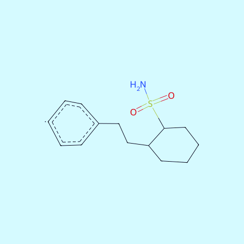 NS(=O)(=O)C1CCCCC1CCc1cc[c]cc1